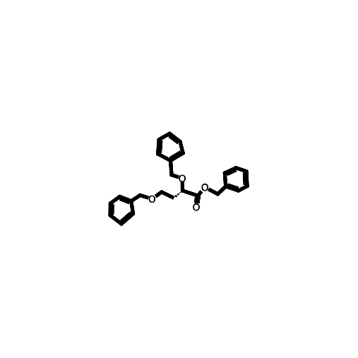 O=C(OCc1ccccc1)[C@H](CCOCc1ccccc1)OCc1ccccc1